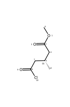 COC(=O)C[C@H](C)CC(=O)Cl